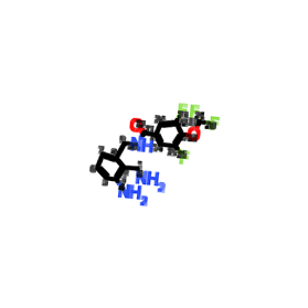 NCc1c(N)cccc1CNC(=O)c1cc(F)c(OC(F)F)c(F)c1